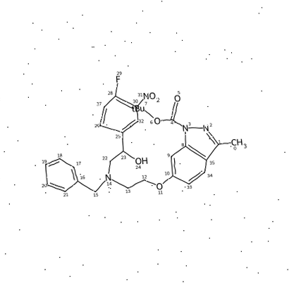 Cc1nn(C(=O)OC(C)(C)C)c2cc(OCCN(Cc3ccccc3)CC(O)c3ccc(F)c([N+](=O)[O-])c3)ccc12